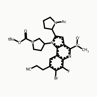 CC(=O)N1CCCC1c1cc2c([S+](C)[O-])nc3c(F)c(Br)c(CCC#N)cc3c2n1C1CCN(C(=O)OC(C)(C)C)C1